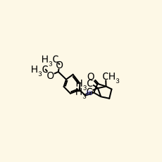 COC(OC)c1ccc(/C=C2\C(=O)C3(C)CCC2C3(C)C)cc1